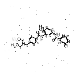 CCN(CC)Cc1ccc(C(=O)Nc2cc(NC(=O)c3cc(Cl)ncn3)ccc2C)cc1